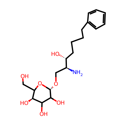 N[C@@H](CO[C@H]1OC(CO)[C@H](O)C(O)C1O)[C@H](O)CCCCc1ccccc1